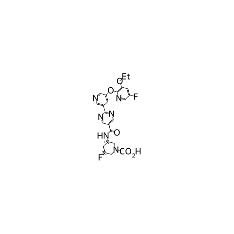 CCOc1cc(F)cnc1Oc1cncc(-c2ncc(C(=O)N[C@H]3C[C@H](F)CN(C(=O)O)C3)cn2)c1